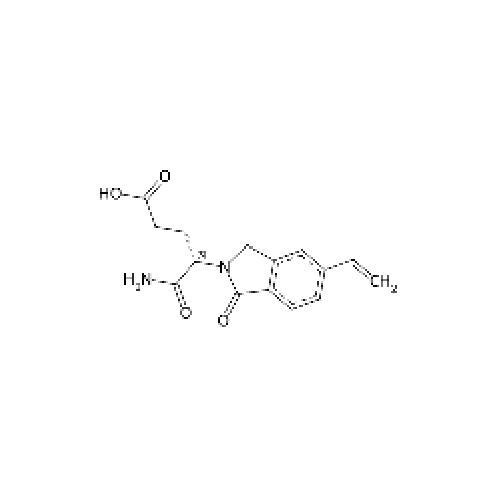 C=Cc1ccc2c(c1)CN([C@@H](CCC(=O)O)C(N)=O)C2=O